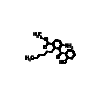 CCCCCCc1c(C(=O)OCC)ccc(N)c1C(=O)c1ccccc1O